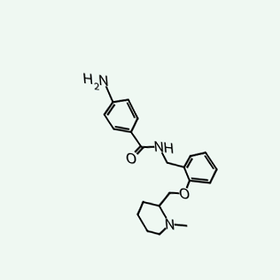 CN1CCCCC1COc1ccccc1CNC(=O)c1ccc(N)cc1